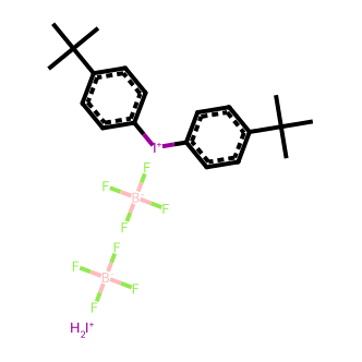 CC(C)(C)c1ccc([I+]c2ccc(C(C)(C)C)cc2)cc1.F[B-](F)(F)F.F[B-](F)(F)F.[IH2+]